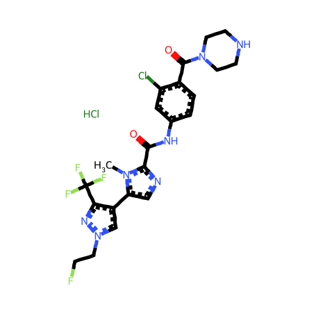 Cl.Cn1c(-c2cn(CCF)nc2C(F)(F)F)cnc1C(=O)Nc1ccc(C(=O)N2CCNCC2)c(Cl)c1